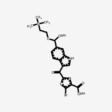 COC(=O)c1nc(C(=O)c2c[nH]c3cc(C(OC)OCC[Si](C)(C)C)ccc23)sc1Br